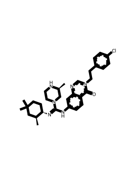 C[C@H]1CN(/C(=N\[C@H]2CCC(C)(C)C[C@@H]2C)Nc2ccc3c(=O)n(CCc4ccc(Cl)cc4)cnc3c2)CCN1